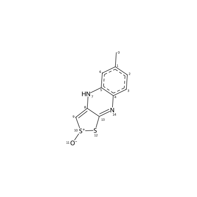 Cc1ccc2c(c1)NC1=C[S+]([O-])SC1=N2